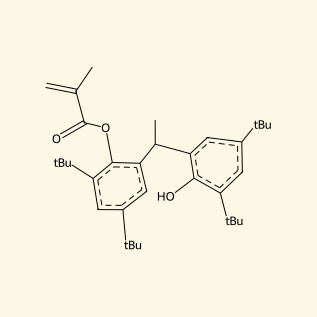 C=C(C)C(=O)Oc1c(C(C)c2cc(C(C)(C)C)cc(C(C)(C)C)c2O)cc(C(C)(C)C)cc1C(C)(C)C